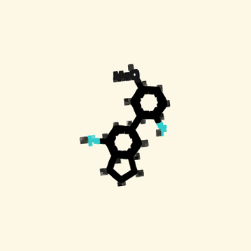 COc1ccc(F)c(-c2cc(F)c3c(c2)CCC3)c1